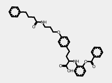 O=C(CCCc1ccccc1)NCCCOc1ccc(CCC(Nc2ccccc2OC(=O)c2ccccc2)C(=O)O)cc1